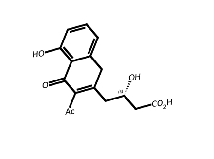 CC(=O)C1=C(C[C@H](O)CC(=O)O)Cc2cccc(O)c2C1=O